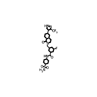 NS(=O)(=O)c1ccc(NC(=O)c2cc(F)cc(Cn3ccc4cc(-c5c[nH]nc5C(F)(F)F)ccc4c3=O)c2)cc1